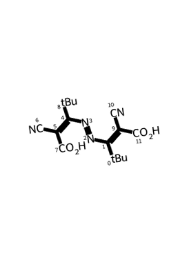 CC(C)(C)C(N=NC(=C(C#N)C(=O)O)C(C)(C)C)=C(C#N)C(=O)O